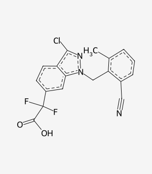 Cc1cccc(C#N)c1Cn1nc(Cl)c2ccc(C(F)(F)C(=O)O)cc21